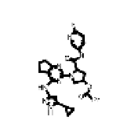 CC(C)C(=O)OC1CC(C(=O)Nc2ccc(F)nc2)N(c2nc3c(c(Nc4cc(C5CC5)[nH]n4)n2)CCC3)C1